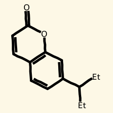 CCC(CC)c1ccc2ccc(=O)oc2c1